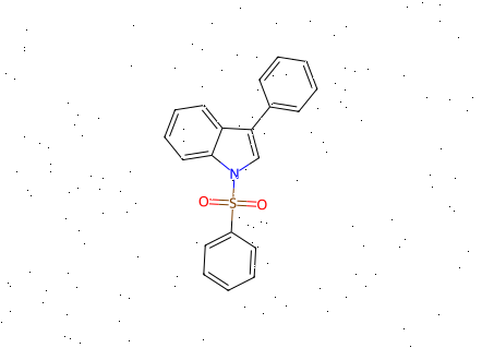 O=S(=O)(c1ccccc1)n1cc(-c2ccccc2)c2ccccc21